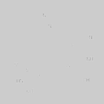 CNS(=O)(=O)c1ccc(-n2ncc3c2-c2sc(NC(C)=O)nc2CC3)cc1